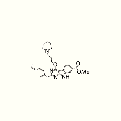 C=C(/C=C\C=C/C)Cc1nc(OCCCN2CCCCC2)c2c(n1)[nH]c1cc(C(=O)OC)ccc12